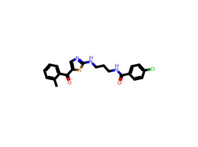 Cc1ccccc1C(=O)c1cnc(NCCCNC(=O)c2ccc(Cl)cc2)s1